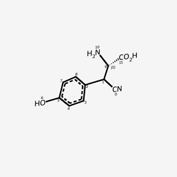 N#CC(c1ccc(O)cc1)[C@H](N)C(=O)O